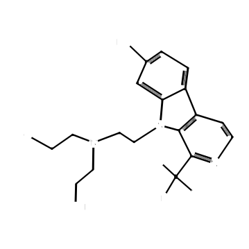 Cc1ccc2c3ccnc(C(F)(F)F)c3n(CCN(CCO)CCO)c2c1